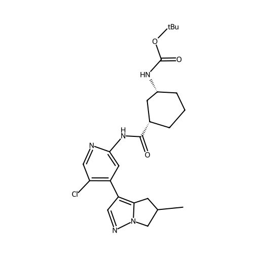 CC1Cc2c(-c3cc(NC(=O)[C@H]4CCC[C@@H](NC(=O)OC(C)(C)C)C4)ncc3Cl)cnn2C1